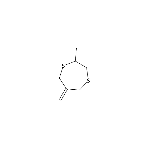 C=C1CSCC(C)SC1